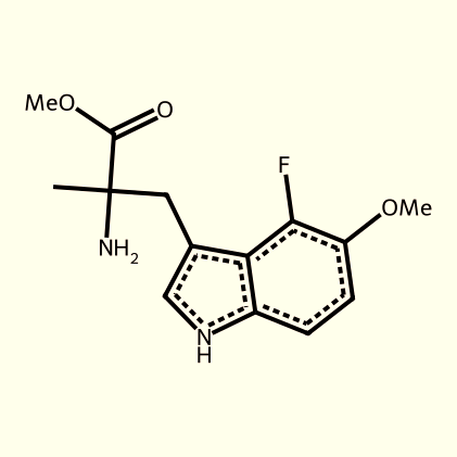 COC(=O)C(C)(N)Cc1c[nH]c2ccc(OC)c(F)c12